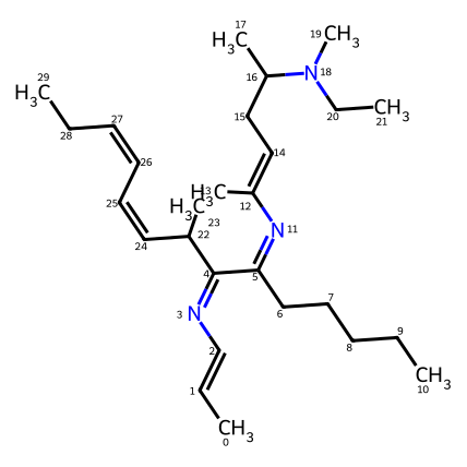 C/C=C/N=C(\C(CCCCC)=N/C(C)=C/CC(C)N(C)CC)C(C)/C=C\C=C/CC